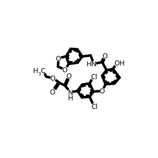 CCOC(=O)C(=O)Nc1cc(Cl)c(Oc2ccc(O)c(C(=O)NCc3ccc4c(c3)OCO4)c2)c(Cl)c1